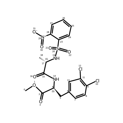 COC(=O)[C@H](Cc1ccc(Cl)c(Cl)c1)NC(=O)[C@H](C)NS(=O)(=O)c1ccccc1[N+](=O)[O-]